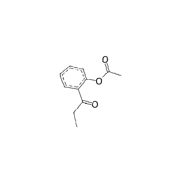 CCC(=O)c1ccccc1OC(C)=O